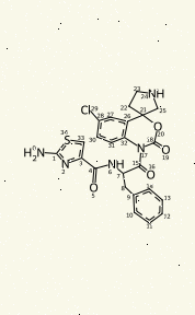 Nc1nc(C(=O)NC(Cc2ccccc2)C(=O)N2C(=O)OC3(CCNC3)c3cc(Cl)ccc32)cs1